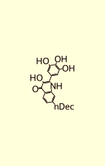 CCCCCCCCCCc1ccc2c(=O)c(O)c(-c3cc(O)c(O)c(O)c3)[nH]c2c1